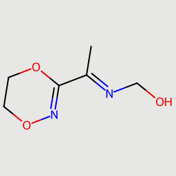 C/C(=N\CO)C1=NOCCO1